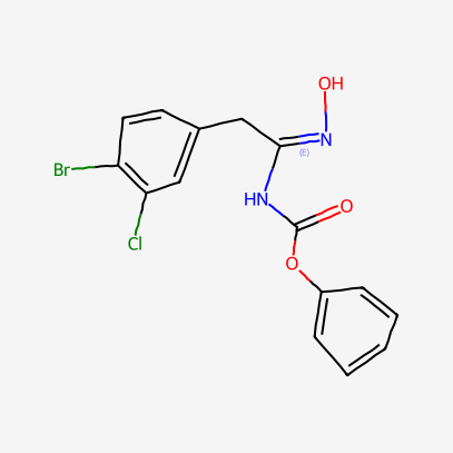 O=C(N/C(Cc1ccc(Br)c(Cl)c1)=N/O)Oc1ccccc1